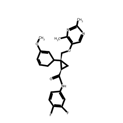 COC1=CC([C@]2(COc3cnc(C)nc3C)C[C@H]2C(=O)Nc2ccc(F)c(F)c2)CC=C1